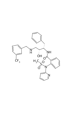 CS(=O)(=O)N(c1ccccn1)c1ccccc1C(=O)N[C@@H](Cc1ccccc1)[C@H](O)CNCc1cccc(C(F)(F)F)c1